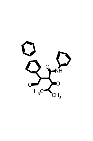 CC(C)C(=O)C(C(=O)Nc1ccccc1)C(C=O)c1ccccc1.c1ccccc1